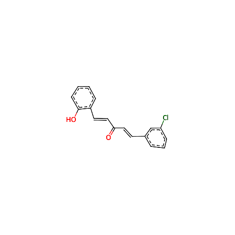 O=C(C=Cc1cccc(Cl)c1)C=Cc1ccccc1O